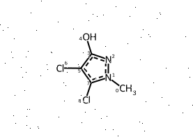 Cn1nc(O)c(Cl)c1Cl